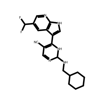 N#CC1=C(c2c[nH]c3ncc(C(F)F)cc23)NC(NCC2CCCCC2)N=C1